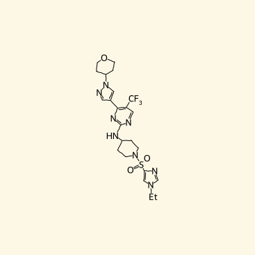 CCn1cnc(S(=O)(=O)N2CCC(Nc3ncc(C(F)(F)F)c(-c4cnn(C5CCOCC5)c4)n3)CC2)c1